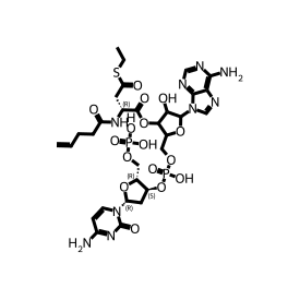 C=CCCC(=O)N[C@H](CC(=O)SCC)C(=O)OC1C(COP(=O)(O)O[C@H]2C[C@H](n3ccc(N)nc3=O)O[C@@H]2COP(=O)(O)O)OC(n2cnc3c(N)ncnc32)C1O